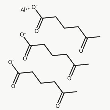 CC(=O)CCCC(=O)[O-].CC(=O)CCCC(=O)[O-].CC(=O)CCCC(=O)[O-].[Al+3]